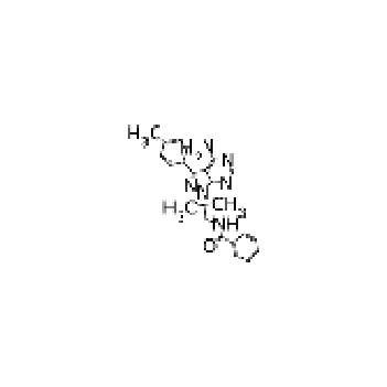 CC1=CCC(c2nn(C(C)(C)CNC(=O)c3ccccc3)c3ncnc(N)c23)C=C1